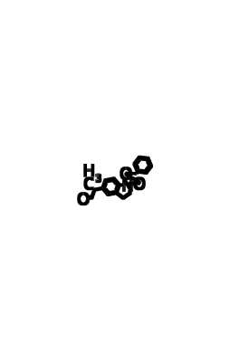 CC(C=O)c1ccc2c(c1)CCN2S(=O)(=O)c1ccccc1